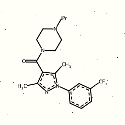 Cc1nn(-c2cccc(C(F)(F)F)c2)c(C)c1C(=O)N1CCN(C(C)C)CC1